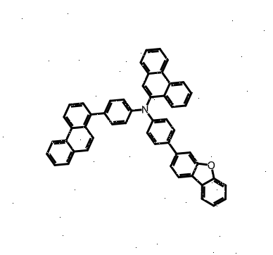 c1ccc2c(c1)ccc1c(-c3ccc(N(c4ccc(-c5ccc6c(c5)oc5ccccc56)cc4)c4cc5ccccc5c5ccccc45)cc3)cccc12